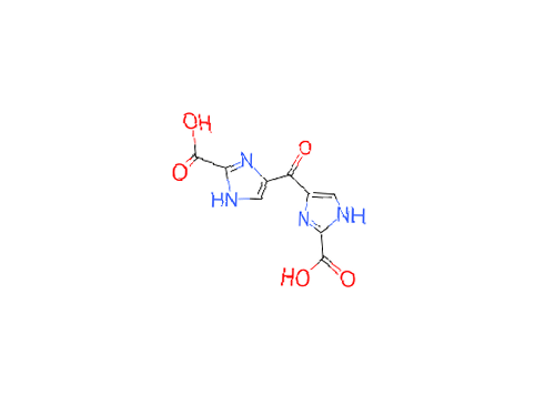 O=C(c1c[nH]c(C(=O)O)n1)c1c[nH]c(C(=O)O)n1